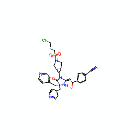 N#Cc1ccc(C(=O)C=C2NC(Cc3ccncc3)(Cc3ccncc3)C(=O)N2C2C3CN(S(=O)(=O)CCCCl)CC32)cc1